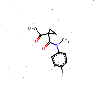 COC(=O)C1(C(=O)N(C)c2ccc(F)cc2)CC1